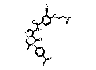 CC1Cn2ncc(NC(=O)c3ccc(OCCN(C)C)c(C#N)c3)c2C(=O)N1c1ccc(C(F)F)cc1